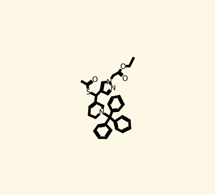 CCOC(=O)Cn1cc(C(SC(C)=O)C2=CCCN(C(c3ccccc3)(c3ccccc3)c3ccccc3)C2)cn1